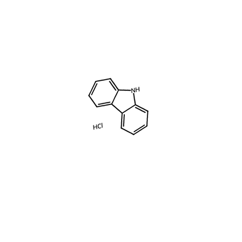 Cl.c1ccc2c(c1)[nH]c1ccccc12